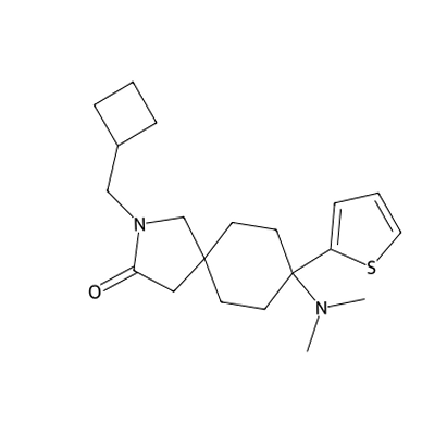 CN(C)C1(c2cccs2)CCC2(CC1)CC(=O)N(CC1CCC1)C2